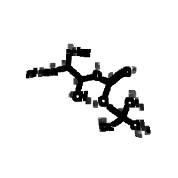 CCCCCCC(CCCCCC)C(C)OC(=O)OC(C)(C)CC